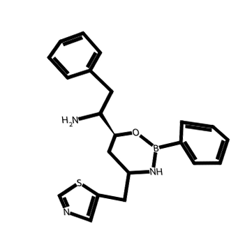 NC(Cc1ccccc1)[C@@H]1CC(Cc2cncs2)NB(c2ccccc2)O1